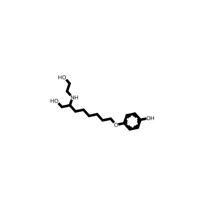 OCCNC(CO)CCCCCCOc1ccc(O)cc1